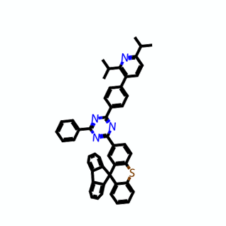 CC(C)c1ccc(-c2ccc(-c3nc(-c4ccccc4)nc(-c4ccc5c(c4)C4(c6ccccc6S5)c5ccccc5-c5ccccc54)n3)cc2)c(C(C)C)n1